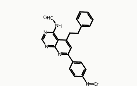 CCN(CC)c1ccc(-c2cc(CCc3ccccc3)c3c(NC=O)ncnc3n2)cc1